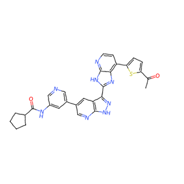 CC(=O)c1ccc(-c2ccnc3[nH]c(-c4n[nH]c5ncc(-c6cncc(NC(=O)C7CCCC7)c6)cc45)nc23)s1